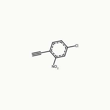 C#Cc1ccc(Cl)cc1[N+](=O)[O-]